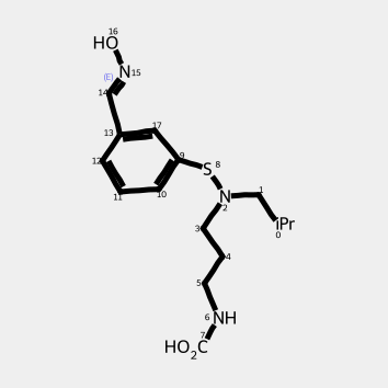 CC(C)CN(CCCNC(=O)O)Sc1cccc(/C=N/O)c1